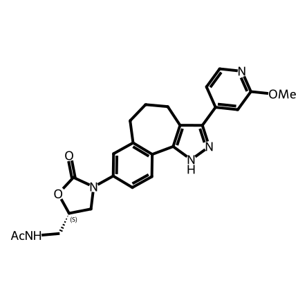 COc1cc(-c2n[nH]c3c2CCCc2cc(N4C[C@H](CNC(C)=O)OC4=O)ccc2-3)ccn1